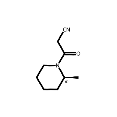 C[C@H]1CCCCN1C(=O)CC#N